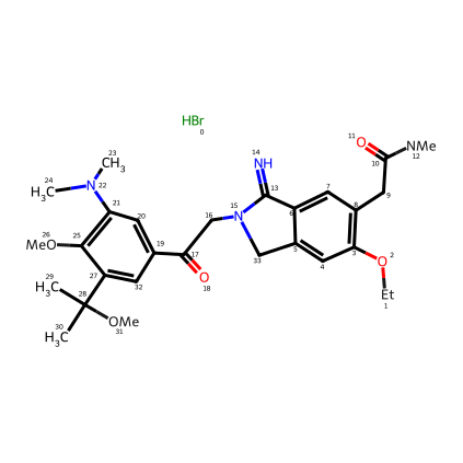 Br.CCOc1cc2c(cc1CC(=O)NC)C(=N)N(CC(=O)c1cc(N(C)C)c(OC)c(C(C)(C)OC)c1)C2